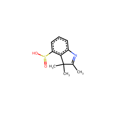 CC1=Nc2cccc(S(=O)O)c2C1(C)C